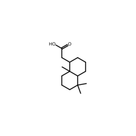 CC1(C)CCCC2(C)C(CC(=O)O)CCCC12